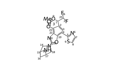 COC(c1cc(-c2nccs2)c2oc(N3CC4CC(C3)N4)nc2c1OC(F)(F)F)C(F)F